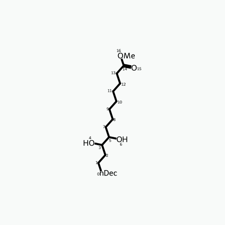 CCCCCCCCCCCCC(O)C(O)CCCCCCCC(=O)OC